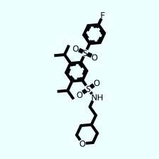 CC(C)c1cc(C(C)C)c(S(=O)(=O)c2ccc(F)cc2)cc1S(=O)(=O)NCCC1CCOCC1